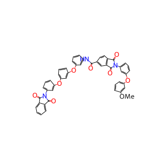 COc1cccc(Oc2cccc(N3C(=O)c4ccc(C(=O)Nc5cccc(Oc6cccc(Oc7cccc(N8C(=O)c9ccccc9C8=O)c7)c6)c5)cc4C3=O)c2)c1